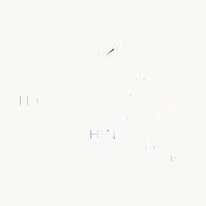 CC(C)OC(=O)C(N)C(=O)[C@@H]1C[C@H](C)CC[C@H]1C(C)C